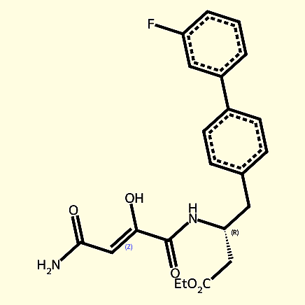 CCOC(=O)C[C@@H](Cc1ccc(-c2cccc(F)c2)cc1)NC(=O)/C(O)=C/C(N)=O